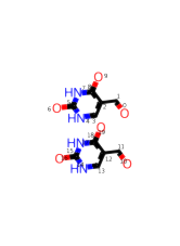 O=Cc1c[nH]c(=O)[nH]c1=O.O=Cc1c[nH]c(=O)[nH]c1=O